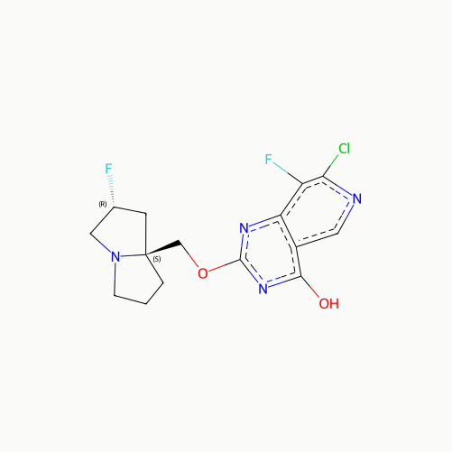 Oc1nc(OC[C@@]23CCCN2C[C@H](F)C3)nc2c(F)c(Cl)ncc12